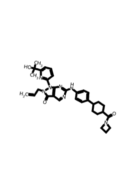 C=CCn1c(=O)c2cnc(Nc3ccc(C4CCC(C(=O)N5CCC5)CC4)cc3)nc2n1-c1cccc(C(C)(C)O)n1